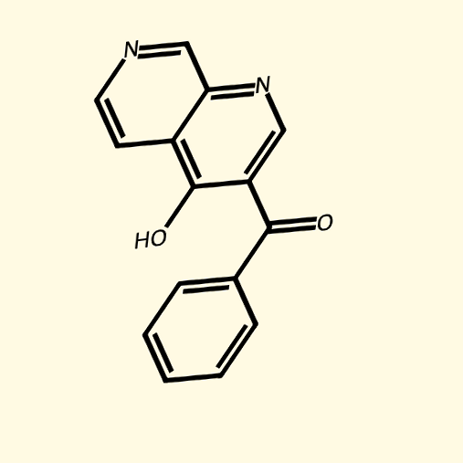 O=C(c1ccccc1)c1cnc2cnccc2c1O